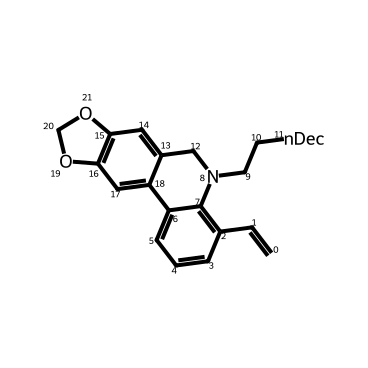 C=Cc1cccc2c1N(CCCCCCCCCCCC)Cc1cc3c(cc1-2)OCO3